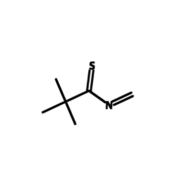 C=NC(=S)C(C)(C)C